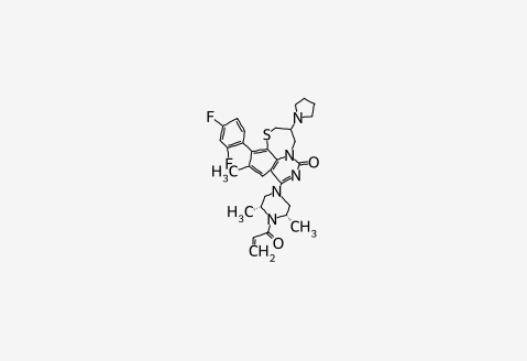 C=CC(=O)N1[C@H](C)CN(c2nc(=O)n3c4c(c(-c5ccc(F)cc5F)c(C)cc24)SCC(N2CCCC2)C3)C[C@@H]1C